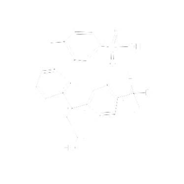 Cc1ccc(S(=O)(=O)O)cc1.OCCC(c1ccccc1)c1ccc(C(F)(F)F)cc1